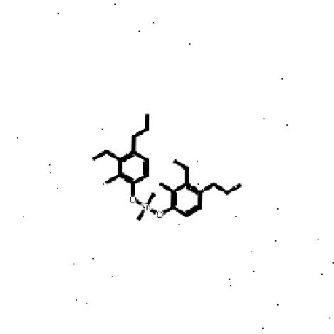 CCCc1ccc([O][Sn]([CH3])([CH3])[O]c2ccc(CCC)c(CC)c2C)c(C)c1CC